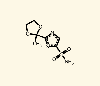 CC1(c2ncc(S(N)(=O)=O)s2)OCCO1